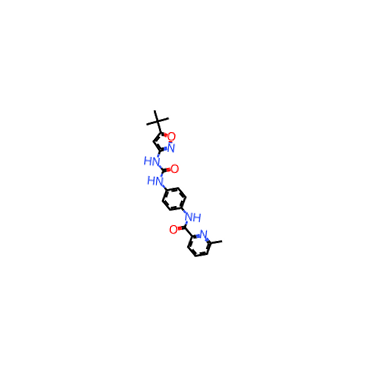 Cc1cccc(C(=O)Nc2ccc(NC(=O)Nc3cc(C(C)(C)C)on3)cc2)n1